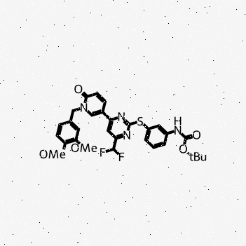 COc1ccc(Cn2cc(-c3cc(C(F)F)nc(Sc4cccc(NC(=O)OC(C)(C)C)c4)n3)ccc2=O)cc1OC